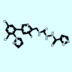 O=C(NCc1ncc(-c2cc(Cl)cc(Cl)c2-n2cccn2)cc1F)NNC(=O)c1ccno1